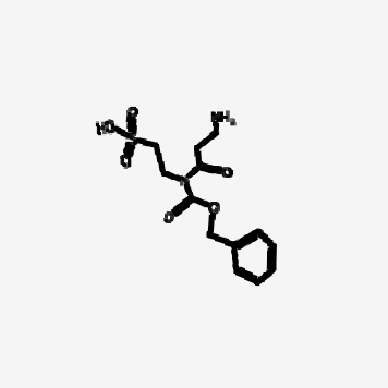 NCCC(=O)N(CCS(=O)(=O)O)C(=O)OCc1ccccc1